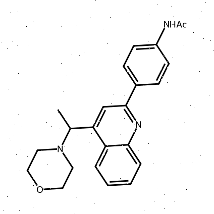 CC(=O)Nc1ccc(-c2cc(C(C)N3CCOCC3)c3ccccc3n2)cc1